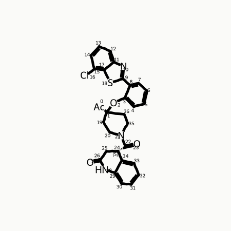 CC(=O)C1(Oc2ccccc2-c2nc3cccc(Cl)c3s2)CCN(C(=O)[C@H]2CC(=O)Nc3ccccc32)CC1